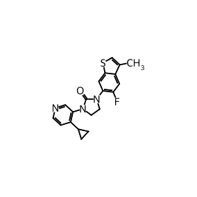 Cc1csc2cc(N3CCN(c4cnccc4C4CC4)C3=O)c(F)cc12